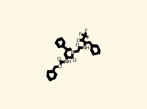 O=C(Cn1cc(-c2ccccc2)cc(NC(=O)OCc2ccccc2)c1=O)NC(Cc1ccccc1)C(=O)C(F)(F)F